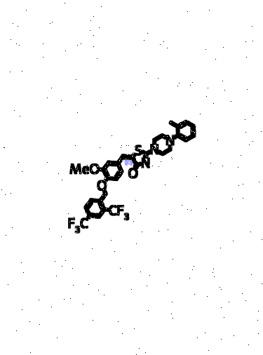 COc1cc(/C=C2/SC(N3CCN(c4ccccc4C)CC3)=NC2=O)ccc1OCc1ccc(C(F)(F)F)cc1C(F)(F)F